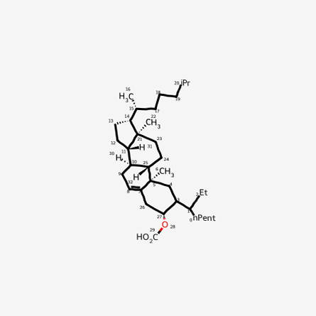 CCCCCC(CC)C1C[C@@]2(C)C(=CC[C@H]3[C@@H]4CC[C@H]([C@H](C)CCCC(C)C)[C@@]4(C)CC[C@@H]32)C[C@H]1OC(=O)O